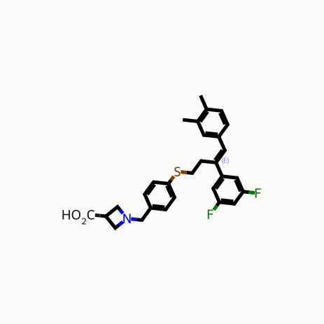 Cc1ccc(/C=C(\CCSc2ccc(CN3CC(C(=O)O)C3)cc2)c2cc(F)cc(F)c2)cc1C